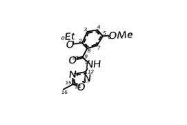 CCOc1ccc(OC)cc1C(=O)Nc1noc(C)n1